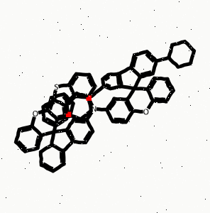 C1=CCC2C(=C1)c1ccc(N(c3ccc4c(c3)C3(c5ccccc5O4)c4cc(C5CCCCC5)ccc4-c4ccc(C5CCCCC5)cc43)c3cccc4sc5ccccc5c34)cc1C21c2ccccc2Oc2ccccc21